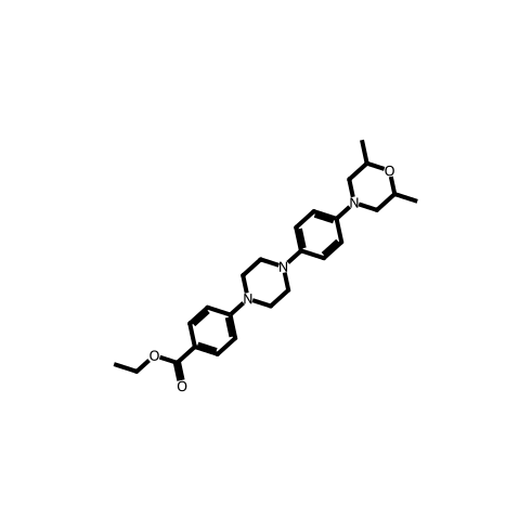 CCOC(=O)c1ccc(N2CCN(c3ccc(N4CC(C)OC(C)C4)cc3)CC2)cc1